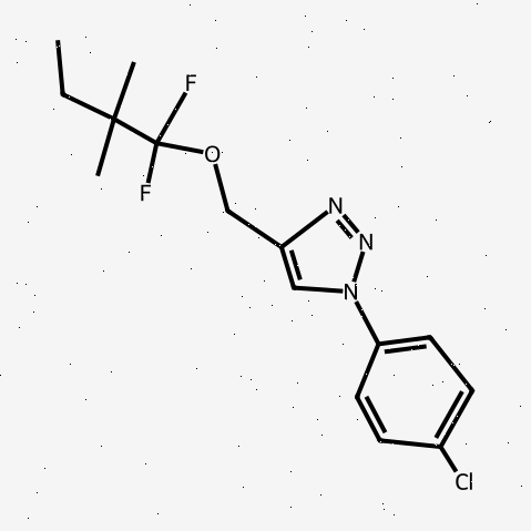 CCC(C)(C)C(F)(F)OCc1cn(-c2ccc(Cl)cc2)nn1